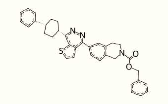 O=C(OCc1ccccc1)N1CCc2cc(-c3nnc([C@H]4CC[C@@H](c5ccccc5)CC4)c4sccc34)ccc2C1